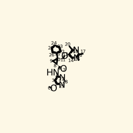 COc1cc(NC(=O)[C@@H]2C[C@@]2(COc2cnc(C)nc2C)c2ccccc2)ncn1